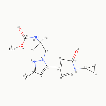 CC(C)(Cn1nc(C(F)(F)F)cc1-c1ccn(C2CC2)c(=O)c1)NC(=O)OC(C)(C)C